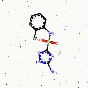 Nc1nc(S(=O)(=O)Nc2ccccc2C(F)(F)F)n[nH]1